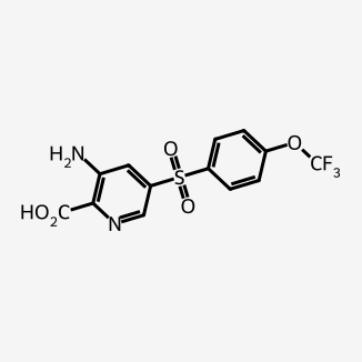 Nc1cc(S(=O)(=O)c2ccc(OC(F)(F)F)cc2)cnc1C(=O)O